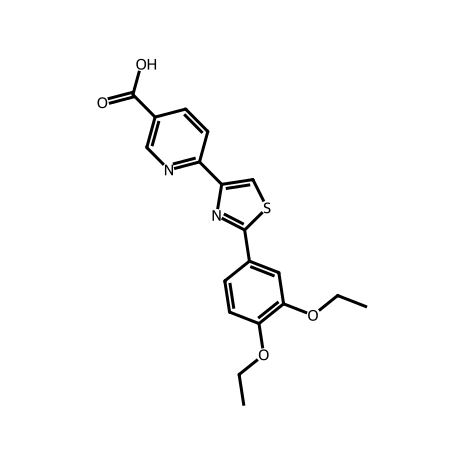 CCOc1ccc(-c2nc(-c3ccc(C(=O)O)cn3)cs2)cc1OCC